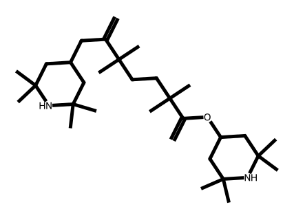 C=C(CC1CC(C)(C)NC(C)(C)C1)C(C)(C)CCC(C)(C)C(=C)OC1CC(C)(C)NC(C)(C)C1